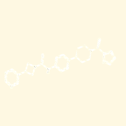 O=C(Nc1ccc(C2CCN(C(=O)c3cccs3)CC2)cc1)N1CC(c2cccnc2)C1